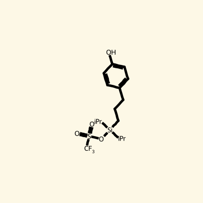 CC(C)[Si](CCCc1ccc(O)cc1)(OS(=O)(=O)C(F)(F)F)C(C)C